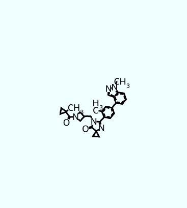 Cc1cc(-c2cccc3c2cnn3C)ccc1C1=NC2(CC2)C(=O)N1CC1CN(C(=O)C2(C)CC2)C1